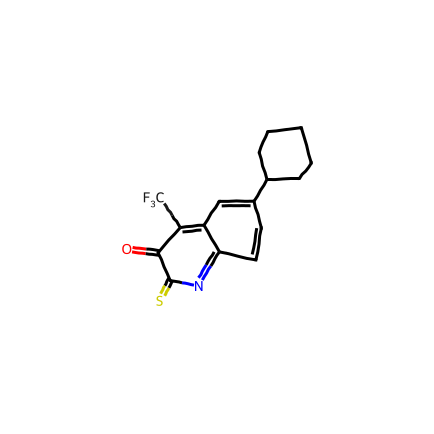 O=C1C(=S)N=c2ccc(C3CCCCC3)cc2=C1C(F)(F)F